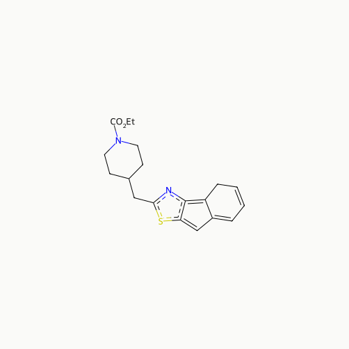 CCOC(=O)N1CCC(Cc2nc3c(s2)=CC2=CC=CCC=32)CC1